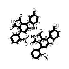 COc1ccccc1-c1cc2[nH]c3ccc(O)cc3c2c2c1C(=O)NC2=O.O=C1NC(=O)c2c1c(-c1ccccc1[N+](=O)[O-])cc1[nH]c3ccc(O)cc3c21